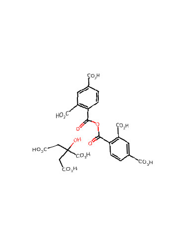 O=C(O)CC(O)(CC(=O)O)C(=O)O.O=C(O)c1ccc(C(=O)OC(=O)c2ccc(C(=O)O)cc2C(=O)O)c(C(=O)O)c1